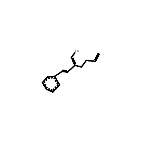 C=CCCC(C=Cc1ccccc1)=CC#N